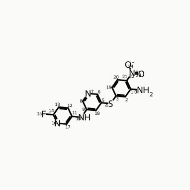 Nc1cc(Sc2cncc(Nc3ccc(F)nc3)c2)ccc1[N+](=O)[O-]